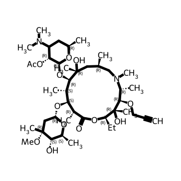 C#CCO[C@@H]1[C@@H](C)N(C)C[C@H](C)C[C@@](C)(O)[C@H](O[C@@H]2O[C@H](C)CC(N(C)C)[C@H]2OC(C)=O)[C@@H](C)[C@H](O[C@H]2C[C@@](C)(OC)[C@@H](O)[C@H](C)O2)[C@@H](C)C(=O)O[C@H](CC)[C@@]1(C)O